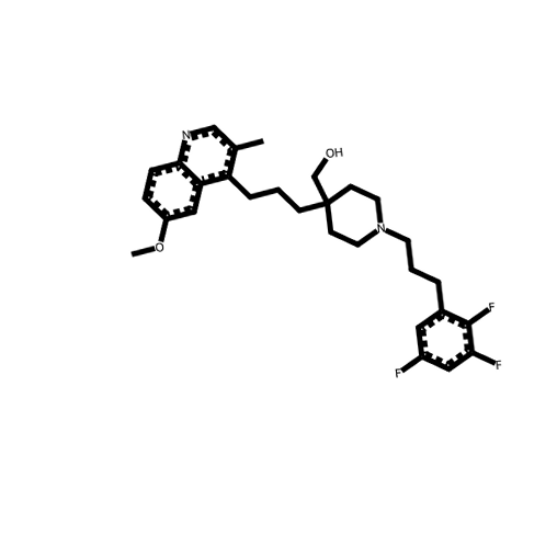 COc1ccc2ncc(C)c(CCCC3(CO)CCN(CCCc4cc(F)cc(F)c4F)CC3)c2c1